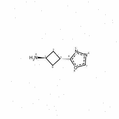 N[C@H]1C[C@H](c2nnco2)C1